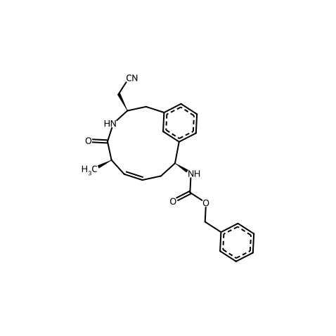 C[C@@H]1C=CC[C@H](NC(=O)OCc2ccccc2)c2cccc(c2)C[C@H](CC#N)NC1=O